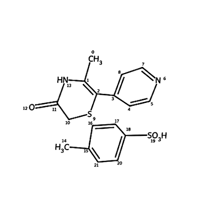 CC1=C(c2ccncc2)SCC(=O)N1.Cc1ccc(S(=O)(=O)O)cc1